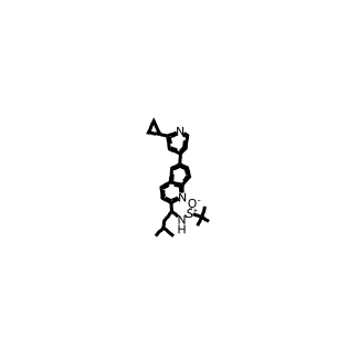 CC(C)CC(N[S+]([O-])C(C)(C)C)c1ccc2cc(-c3ccnc(C4CC4)c3)ccc2n1